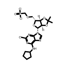 CC1(C)O[C@@H]2[C@H](O1)[C@@H](COCP(=O)(Cl)Cl)O[C@H]2n1cnc2c(NC3CCCC3)nc(Cl)nc21